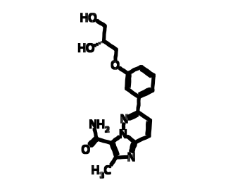 Cc1nc2ccc(-c3cccc(OC[C@H](O)CO)c3)nn2c1C(N)=O